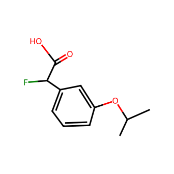 CC(C)Oc1cccc(C(F)C(=O)O)c1